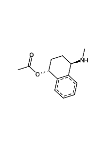 CN[C@@H]1CC[C@@H](OC(C)=O)c2ccccc21